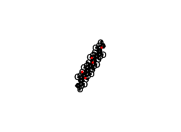 COc1cccc2c1oc(=O)c1cc3c(cc12)c(=O)oc1c(OC)c2c(oc(=O)c4cc5c(cc42)c(=O)oc2c(OC)c4c(oc(=O)c6cc7c(cc64)c(=O)oc4c(OC)c6c(oc(=O)c8cc9c(cc86)c(=O)oc6c(OC)cccc69)c(OC)c47)c(OC)c25)c(OC)c13